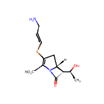 C[C@H](O)[C@@H]1C(=O)N2C(C(=O)O)=C(S/C=C/CN)C[C@H]12